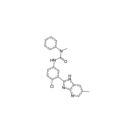 Cc1cnc2nc(-c3cc(NC(=O)N(C)c4ccccc4)ccc3Cl)[nH]c2c1